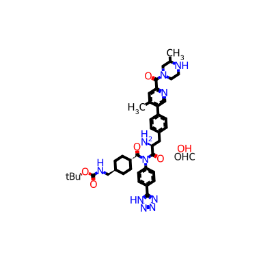 Cc1cc(C(=O)N2CCNC(C)C2)ncc1-c1ccc(C[C@H](N)C(=O)N(c2ccc(-c3nnn[nH]3)cc2)C(=O)[C@H]2CC[C@H](CNC(=O)OC(C)(C)C)CC2)cc1.O=CO